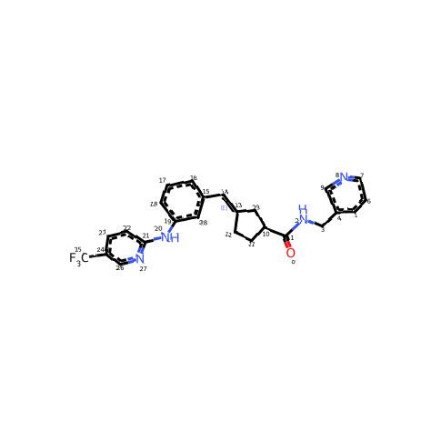 O=C(NCc1cccnc1)C1CC/C(=C\c2cccc(Nc3ccc(C(F)(F)F)cn3)c2)C1